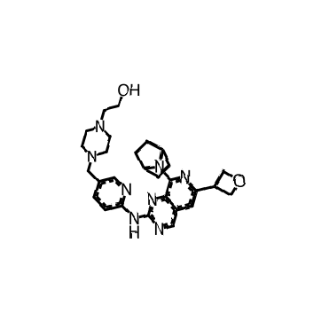 OCCN1CCN(Cc2ccc(Nc3ncc4cc(C5COC5)nc(N5C6CCC5CC6)c4n3)nc2)CC1